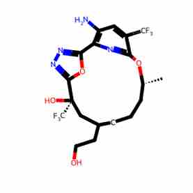 C[C@@H]1CCCC(CCO)C[C@](O)(C(F)(F)F)c2nnc(o2)-c2nc(c(C(F)(F)F)cc2N)O1